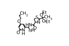 C=CCOc1cc(C(CCC)NC(=O)C2CSC(C(C)(OCC)OCC)=N2)[nH]c(=O)c1